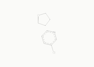 C1CCOC1.Clc1cccnc1